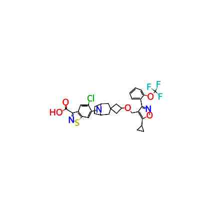 O=C(O)c1nsc2cc(N3C4CCC3CC3(CC(OCc5c(-c6ccccc6OC(F)(F)F)noc5C5CC5)C3)C4)c(Cl)cc12